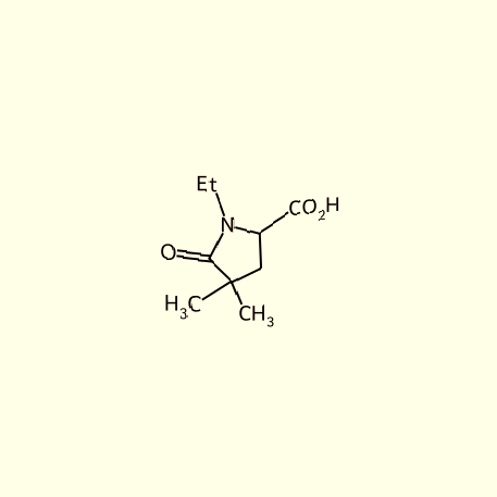 CCN1C(=O)C(C)(C)CC1C(=O)O